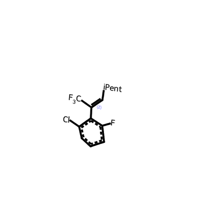 CCCC(C)/C=C(/c1c(F)cccc1Cl)C(F)(F)F